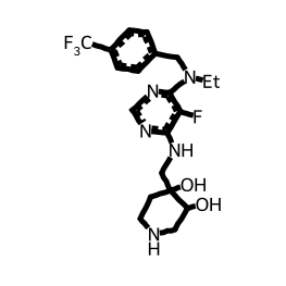 CCN(Cc1ccc(C(F)(F)F)cc1)c1ncnc(NCC2(O)CCNCC2O)c1F